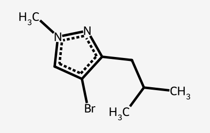 CC(C)Cc1nn(C)cc1Br